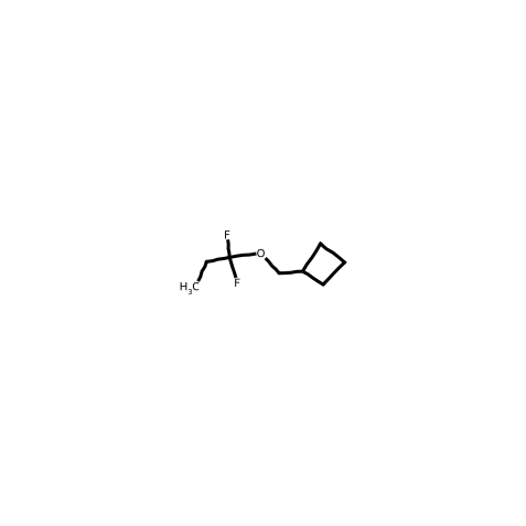 CCC(F)(F)OCC1CCC1